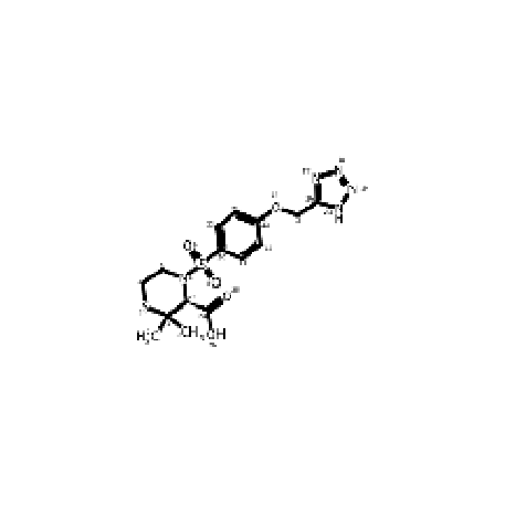 CC1(C)SCCN(S(=O)(=O)c2ccc(OCc3nnn[nH]3)cc2)[C@H]1C(=O)O